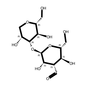 O=C[C@@H]1[C@H](O)[C@@H](O[C@H]2[C@H](O)[C@@H](CO)OC[C@H]2O)O[C@H](CO)[C@H]1O